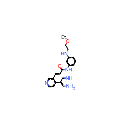 CCOCCNc1cccc(NC(=O)/C=C/c2cnccc2/C(C=N)=C/N)c1